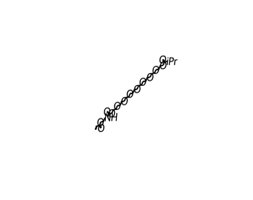 C=CC(=O)OCCNC(=O)OCCOCCOCCOCCOCCOCCOCCOCCOC(=O)C(C)C